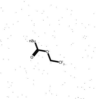 CCCCC(=O)OCC(F)(F)F